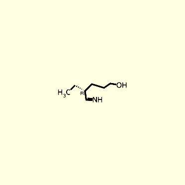 CC[C@@H](C=N)CCCO